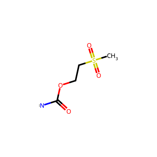 CS(=O)(=O)CCOC([N])=O